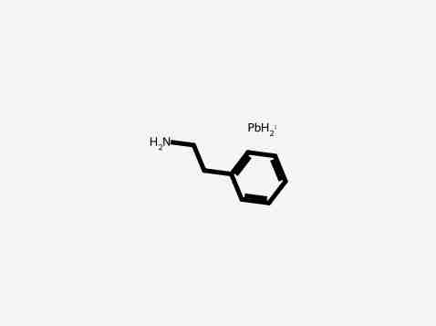 NCCc1ccccc1.[PbH2]